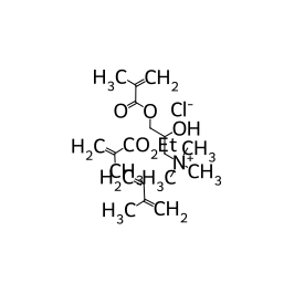 C=C(C)C(=O)OCC.C=C(C)C(=O)OCC(O)C[N+](C)(C)C.C=CC(=C)C.[Cl-]